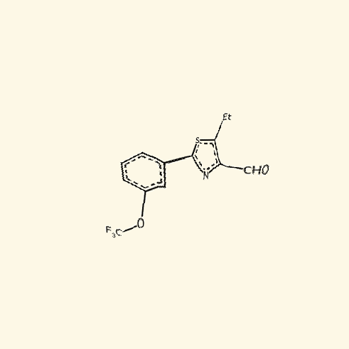 CCc1sc(-c2cccc(OC(F)(F)F)c2)nc1C=O